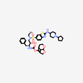 CC(C)CN(C[C@@H](O)[C@H](Cc1ccccc1)NC(=O)OC1=C2COC3OCC1CC23)S(=O)(=O)c1ccc2nc(NC3CCN(C4CCCC4)CC3)sc2c1